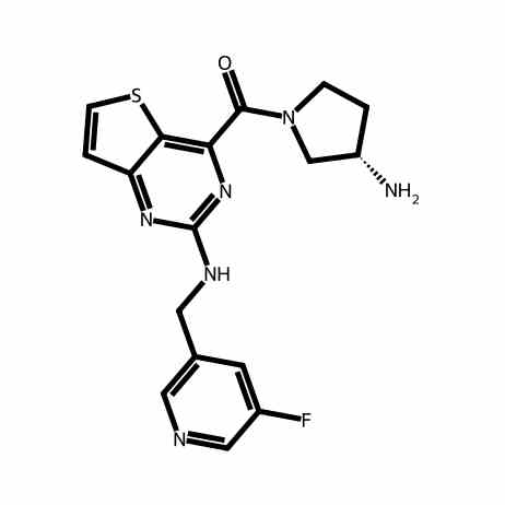 N[C@H]1CCN(C(=O)c2nc(NCc3cncc(F)c3)nc3ccsc23)C1